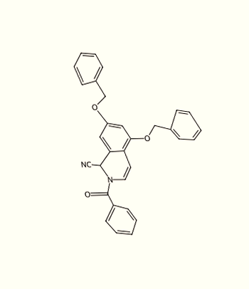 N#CC1c2cc(OCc3ccccc3)cc(OCc3ccccc3)c2C=CN1C(=O)c1ccccc1